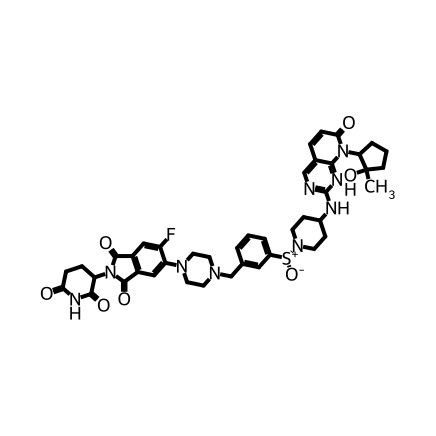 CC1(O)CCCC1n1c(=O)ccc2cnc(NC3CCN([S+]([O-])c4cccc(CN5CCN(c6cc7c(cc6F)C(=O)N(C6CCC(=O)NC6=O)C7=O)CC5)c4)CC3)nc21